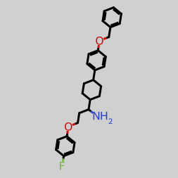 NC(CCOc1ccc(F)cc1)C1CCC(c2ccc(OCc3ccccc3)cc2)CC1